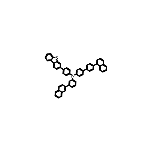 c1cc(-c2ccc3ccccc3c2)cc(N(c2ccc(-c3ccc(-c4cccc5ccccc45)cc3)cc2)c2ccc(-c3ccc4c(c3)sc3ccccc34)cc2)c1